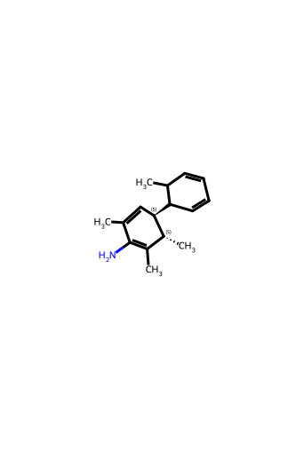 CC1=C[C@@H](C2C=CC=CC2C)[C@H](C)C(C)=C1N